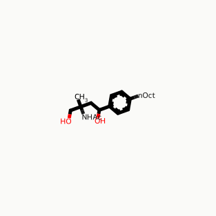 CCCCCCCCc1ccc(C(O)CC(C)(CO)NC(C)=O)cc1